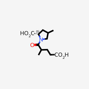 CC1C[C@@H](C(=O)O)N(C(=O)C(C)CCC(=O)O)C1